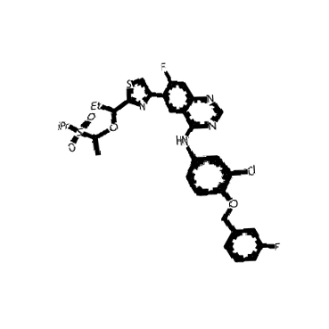 CCC(OC(C)S(=O)(=O)C(C)C)c1nc(-c2cc3c(Nc4ccc(OCc5cccc(F)c5)c(Cl)c4)ncnc3cc2F)cs1